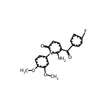 COc1ccc(-n2c(N)c(C(=O)c3ccc(F)cc3)ccc2=O)cc1OC